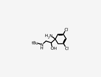 CC(C)(C)NCC(O)C1(N)C=C(Cl)C=C(Cl)C1